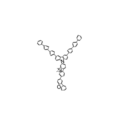 C[Si]1(C)c2cc(-c3ccc4oc5ccccc5c4c3)ccc2-c2ccc(-n3c4ccc(-c5ccc(-c6ccc(-c7ccccc7)cc6)cc5)cc4c4cc(-c5ccc(-c6ccc(-c7ccccc7)cc6)cc5)ccc43)cc21